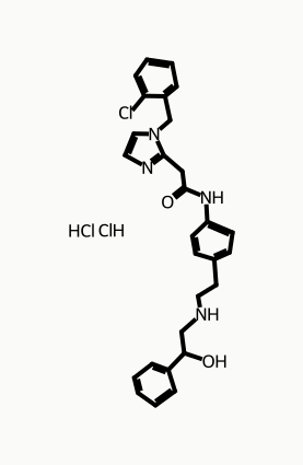 Cl.Cl.O=C(Cc1nccn1Cc1ccccc1Cl)Nc1ccc(CCNCC(O)c2ccccc2)cc1